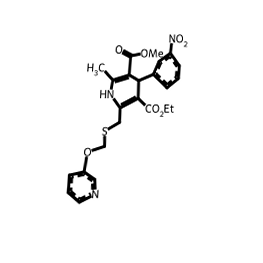 CCOC(=O)C1=C(CSCOc2cccnc2)NC(C)=C(C(=O)OC)C1c1cccc([N+](=O)[O-])c1